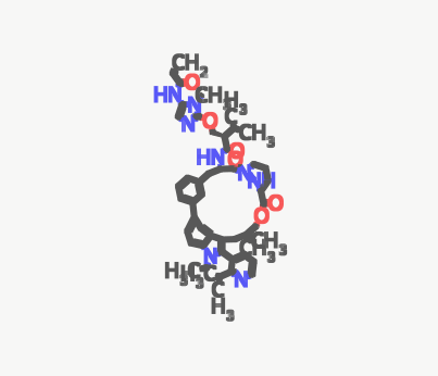 C=CC(=O)Nc1cnc(OC[C@H](C(=O)N[C@H]2Cc3cccc(c3)-c3ccc4c(c3)c(c(-c3cccnc3C(C)C)n4CC)CC(C)(C)COC(=O)C3CCCN(N3)C2=O)C(C)C)n1C